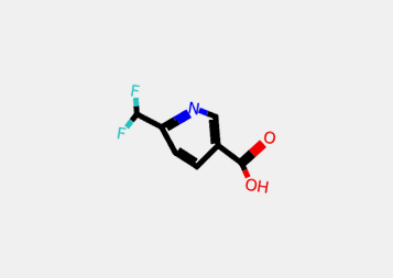 O=C(O)c1ccc(C(F)F)nc1